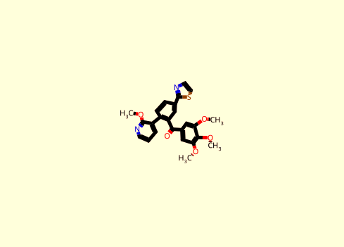 COc1cc(C(=O)c2cc(-c3nccs3)ccc2-c2cccnc2OC)cc(OC)c1OC